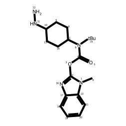 Cn1c(OC(=O)N(C2CCC(NN)CC2)C(C)(C)C)nc2ccccc21